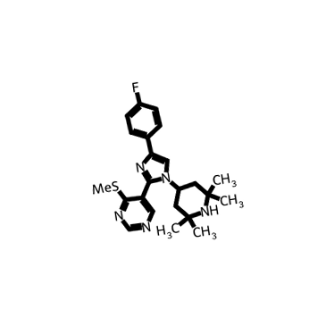 CSc1ncncc1-c1nc(-c2ccc(F)cc2)cn1C1CC(C)(C)NC(C)(C)C1